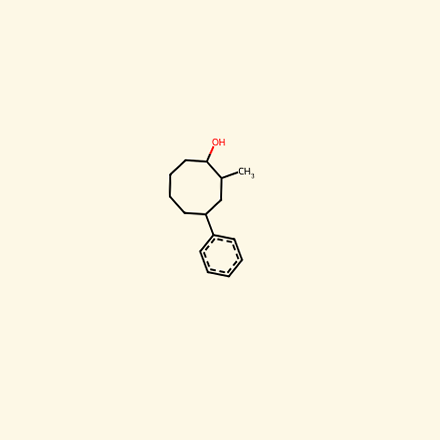 CC1CC(c2ccccc2)CCCCC1O